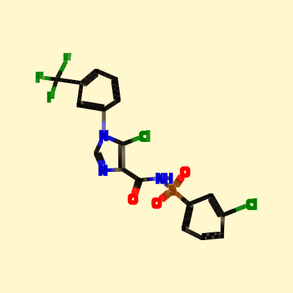 O=C(NS(=O)(=O)c1cccc(Cl)c1)c1ncn(-c2cccc(C(F)(F)F)c2)c1Cl